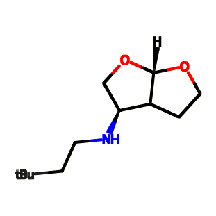 CC(C)(C)CCN[C@H]1CO[C@@H]2OCCC21